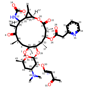 CO[C@@]1(C)C[C@@H](C)C(=O)C(C)[C@H]2NC(=O)O[C@@]23C(C)[C@H]3OC(=O)[C@H](C)[C@@H](OC(=O)Cc2ccccn2)[C@H](C)[C@H]1O[C@@H]1O[C@H](C)C[C@H](N(C)C)[C@H]1O/C=C/C(C)=O